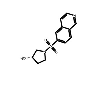 O=S(=O)(c1ccc2cnccc2c1)N1CC[C@H](O)C1